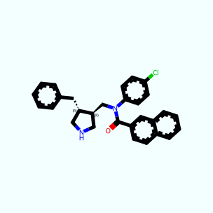 O=C(c1ccc2ccccc2c1)N(C[C@H]1CNC[C@@H]1Cc1ccccc1)c1ccc(Cl)cc1